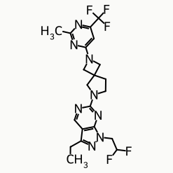 CCc1nn(CC(F)F)c2nc(N3CCC4(CN(c5cc(C(F)(F)F)nc(C)n5)C4)C3)ncc12